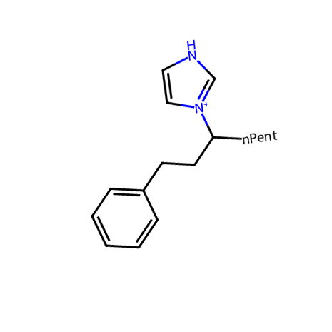 CCCCCC(CCc1ccccc1)[n+]1cc[nH]c1